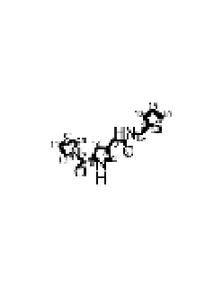 O=C(CC1CN[C@H](C(=O)N2CCSC2)C1)NCc1cccs1